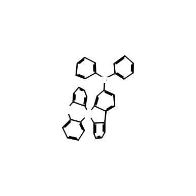 c1ccc(N(c2ccccc2)c2ccc3c(c2)[Si]2(c4ccccc4Sc4ccccc42)c2ccccc2-3)cc1